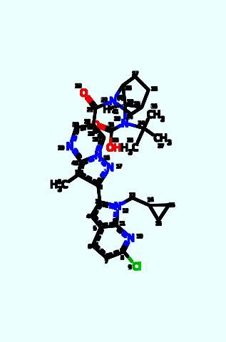 Cc1c(-c2cc3ccc(Cl)nc3n2CC2CC2)nn2cc(C(=O)N3CC4CCC3[C@@H]4N(C(=O)O)C(C)(C)C)cnc12